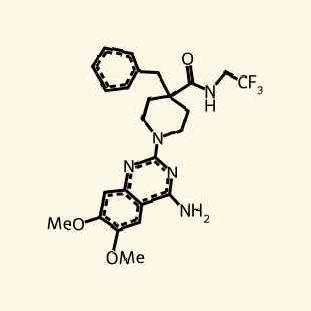 COc1cc2nc(N3CCC(Cc4ccccc4)(C(=O)NCC(F)(F)F)CC3)nc(N)c2cc1OC